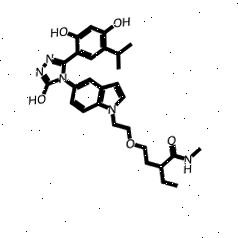 CCC(CCOCCn1ccc2cc(-n3c(O)nnc3-c3cc(C(C)C)c(O)cc3O)ccc21)C(=O)NC